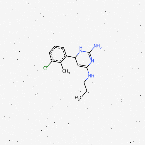 CCCNC1=CC(c2cccc(Cl)c2C)NC(N)=N1